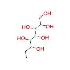 [CH2]CC(O)[C@@H](O)[C@@H](O)[C@H](O)[C@H](O)CO